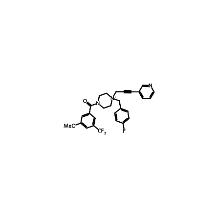 COc1cc(C(=O)N2CC[N+](CC#Cc3cccnc3)(Cc3ccc(F)cc3)CC2)cc(C(F)(F)F)c1